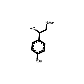 CNCC(O)c1ccc(C(C)(C)C)cc1